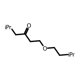 CC(C)CCOCCC(=O)CC(C)C